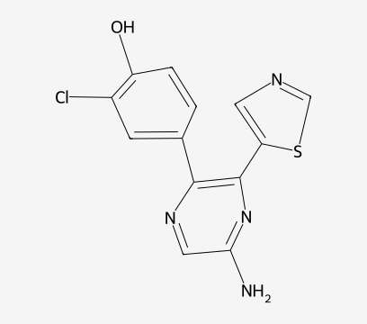 Nc1cnc(-c2ccc(O)c(Cl)c2)c(-c2cncs2)n1